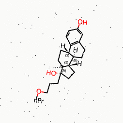 CCCOCCC[C@]1(O)CC[C@H]2[C@@H]3CCc4cc(O)ccc4[C@H]3CC[C@@]21C